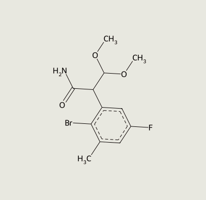 COC(OC)C(C(N)=O)c1cc(F)cc(C)c1Br